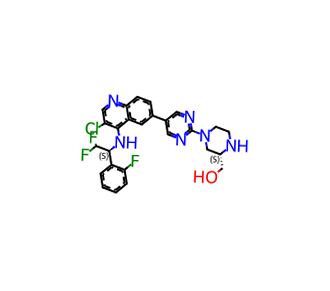 OC[C@@H]1CN(c2ncc(-c3ccc4ncc(Cl)c(N[C@@H](c5ccccc5F)C(F)F)c4c3)cn2)CCN1